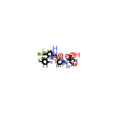 Cc1ccc(C)c(-c2nc(NS(=O)(=O)c3cccc(N(C)CC4(C(=O)O)CCOCC4)n3)ccc2C(F)(F)F)c1